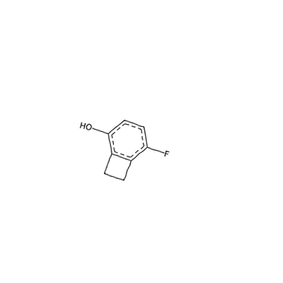 Oc1ccc(F)c2c1CC2